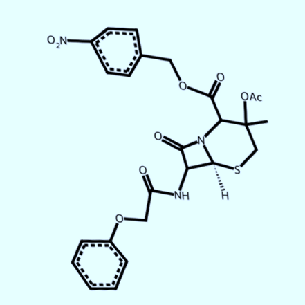 CC(=O)OC1(C)CS[C@H]2C(NC(=O)COc3ccccc3)C(=O)N2C1C(=O)OCc1ccc([N+](=O)[O-])cc1